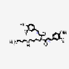 COc1cc(/C=C/C(=O)N(CCCCNCCCN)C(=O)/C=C/c2ccc(O)c(OC)c2)ccc1O